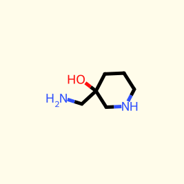 NCC1(O)CCCNC1